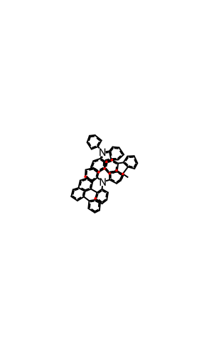 CC1(C)c2ccccc2-c2ccc(-c3ccccc3N(c3ccccc3-c3cccc4cccc(-c5ccccc5)c34)c3ccccc3-c3cccc4c3c3ccccc3n4-c3ccccc3)cc21